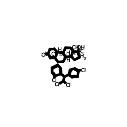 C[C@]12CCC(=O)C=C1CC[C@@H]1[C@@H]2CC[C@@]2(C)[C@H]1CC[C@]2(C)O.Clc1ccc(C(c2ccccc2Cl)C(Cl)Cl)cc1